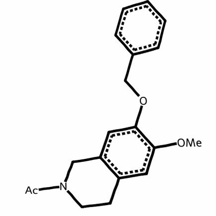 COc1cc2c(cc1OCc1ccccc1)CN(C(C)=O)CC2